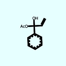 C=CC(O)(OC(C)=O)c1ccccc1